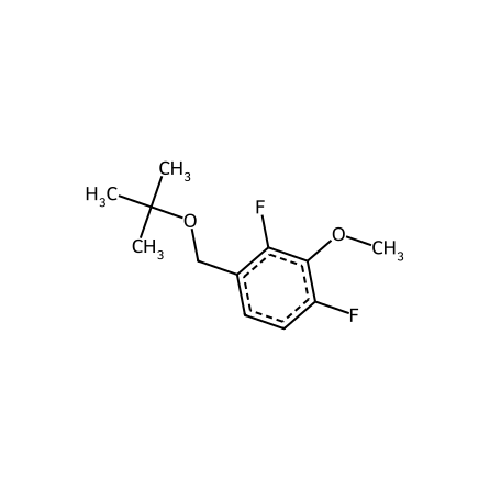 COc1c(F)ccc(COC(C)(C)C)c1F